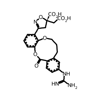 N=C(N)Nc1ccc2c(c1)CCCOc1c(cccc1C1=NO[C@@](CC(=O)O)(C(=O)O)C1)OC2=O